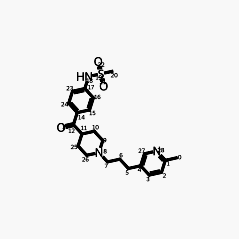 Cc1ccc(CCCN2CCC(C(=O)c3ccc(NS(C)(=O)=O)cc3)CC2)cn1